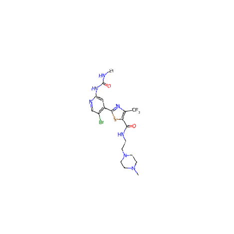 CCNC(=O)Nc1cc(-c2nc(C(F)(F)F)c(C(=O)NCCN3CCN(C)CC3)s2)c(Br)cn1